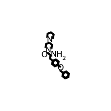 NC(Cc1ccc(OCc2ccccc2)cc1)C(=O)N1CCC(N2CCCCC2)CC1